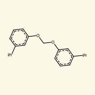 CC(C)c1cccc(OCOc2cccc(C(C)C)c2)c1